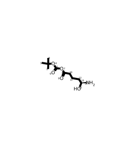 CC(C)(C)OC(=O)OC(=O)CCC[C@@H](N)O